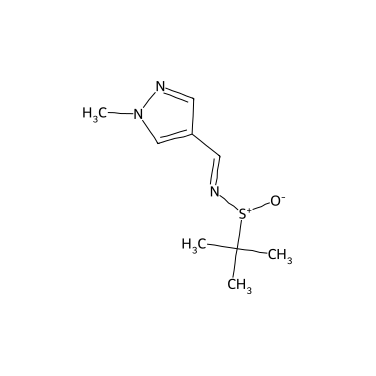 Cn1cc(C=N[S+]([O-])C(C)(C)C)cn1